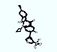 C#Cc1ccc2c(c1)[nH]c1c2c(=O)c2cc(CC)c(-c3cncc(S(=O)(=O)F)c3)cc2n1C1CCC1